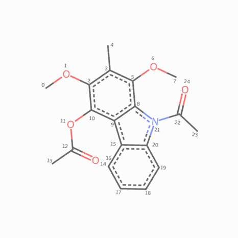 COc1c(C)c(OC)c2c(c1OC(C)=O)c1ccccc1n2C(C)=O